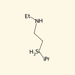 CCNCC[SiH2]C(C)C